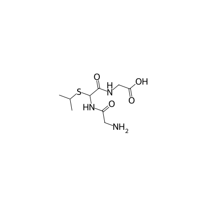 CC(C)SC(NC(=O)CN)C(=O)NCC(=O)O